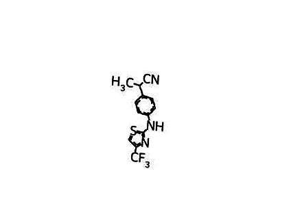 CC(C#N)c1ccc(Nc2nc(C(F)(F)F)cs2)cc1